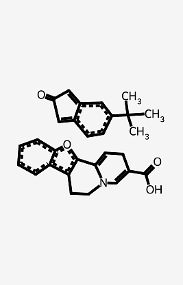 CC(C)(C)c1ccc2c(c1)=CC(=O)C=2.O=C(O)C1=CN2CCc3c(oc4ccccc34)C2=CC1